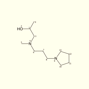 CC(O)CN(C)CCCN1CCCC1